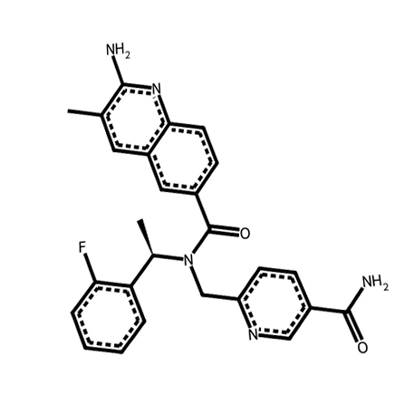 Cc1cc2cc(C(=O)N(Cc3ccc(C(N)=O)cn3)[C@H](C)c3ccccc3F)ccc2nc1N